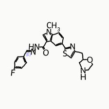 Cn1cc(C(=O)N/N=C/c2ccc(F)cc2)c2cc(-c3nc(CC4CNCCO4)cs3)ccc21